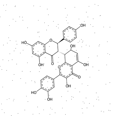 O=C1c2c(O)cc(O)cc2O[C@@H](c2ccc(O)cc2)[C@@H]1C1c2oc(-c3ccc(O)c(O)c3)c(O)c(=O)c2C(O)=CC1O